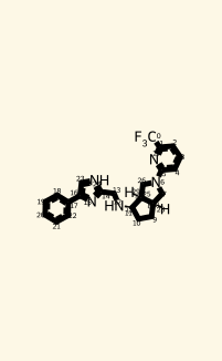 FC(F)(F)c1cccc(N2C[C@H]3CC[C@H](NCc4nc(-c5ccccc5)c[nH]4)[C@H]3C2)n1